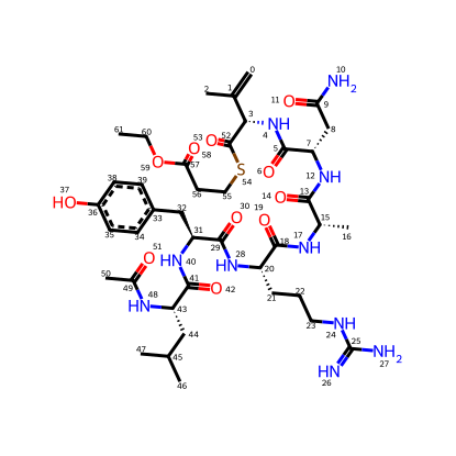 C=C(C)[C@H](NC(=O)[C@H](CC(N)=O)NC(=O)[C@H](C)NC(=O)[C@H](CCCNC(=N)N)NC(=O)[C@H](Cc1ccc(O)cc1)NC(=O)[C@H](CC(C)C)NC(C)=O)C(=O)SCCC(=O)OCC